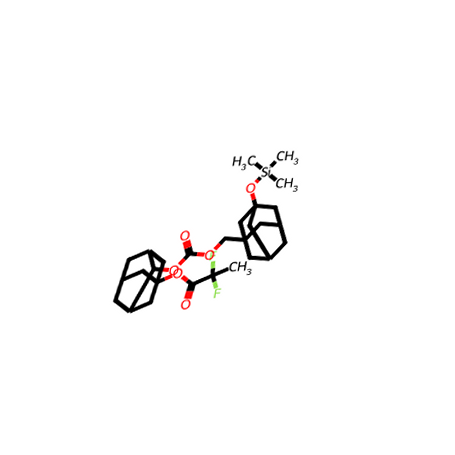 CC(F)(F)C(=O)OC12CC3CC(C1)C(OC(=O)OCC14CC5CC(C1)CC(O[Si](C)(C)C)(C5)C4)C(C3)C2